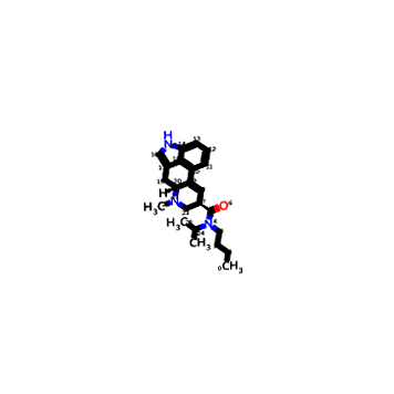 CCCCN(C(=O)[C@@H]1C=C2c3cccc4[nH]cc(c34)C[C@H]2N(C)C1)C(C)C